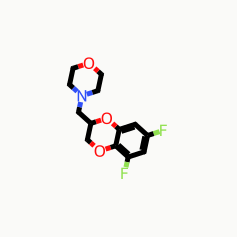 Fc1cc(F)c2c(c1)OC(CN1CCOCC1)CO2